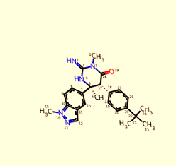 CN1C(=N)N[C@](C)(c2ccc3c(cnn3C)c2)[C@@H](c2ccc(C(C)(C)C)cc2)C1=O